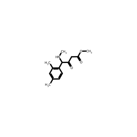 CNC(C(=O)CC(=O)OC)c1ccc(C)cc1C